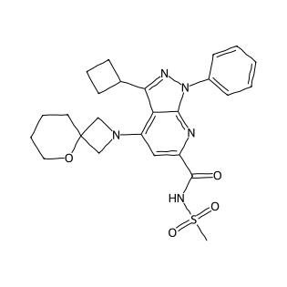 CS(=O)(=O)NC(=O)c1cc(N2CC3(CCCCO3)C2)c2c(C3CCC3)nn(-c3ccccc3)c2n1